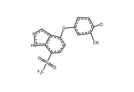 N#Cc1cc(Oc2ccc(S(=O)(=O)C(F)(F)F)c3[nH]ncc23)ccc1Cl